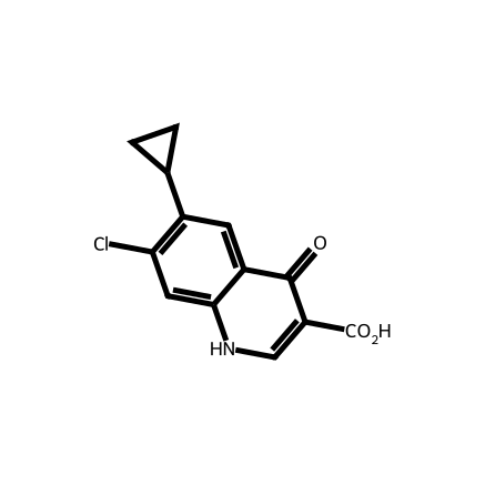 O=C(O)c1c[nH]c2cc(Cl)c(C3CC3)cc2c1=O